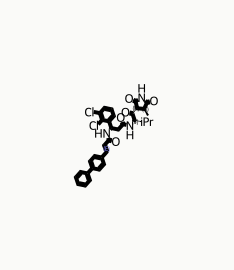 CC(C)[C@H](NC(=O)CC(NC(=O)/C=C/c1ccc(-c2ccccc2)cc1)c1cccc(Cl)c1Cl)C(=O)[C@@H]1C(=O)NC(=O)[C@H]1C